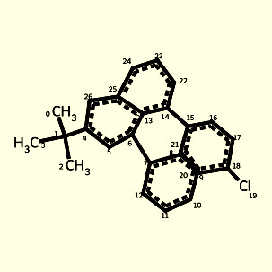 CC(C)(C)c1cc(-c2ccccc2)c2c(-c3ccc(Cl)cc3)cccc2c1